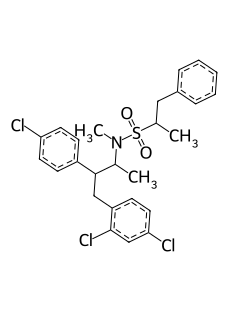 CC(C(Cc1ccc(Cl)cc1Cl)c1ccc(Cl)cc1)N(C)S(=O)(=O)C(C)Cc1ccccc1